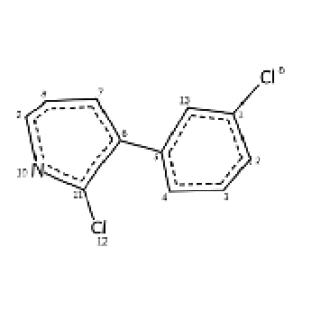 Clc1[c]ccc(-c2cccnc2Cl)c1